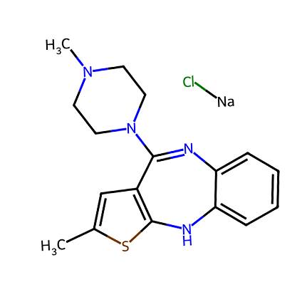 Cc1cc2c(s1)Nc1ccccc1N=C2N1CCN(C)CC1.[Na][Cl]